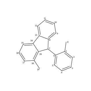 Cc1ccccc1C1c2ccccc2-c2cccc(C)c21